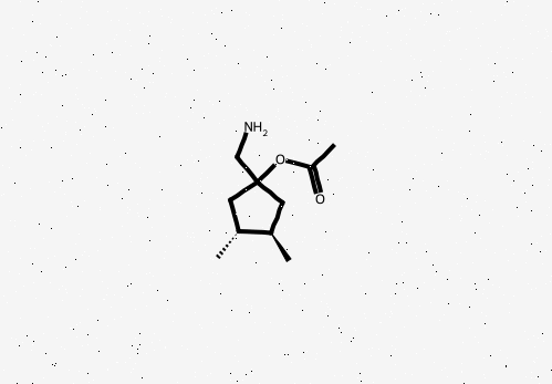 CC(=O)OC1(CN)C[C@@H](C)[C@H](C)C1